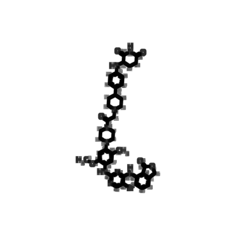 COc1cc(N2CCN(C(=O)CN3CCC(c4ccc(NC5CCC(=O)NC5=O)cc4)CC3)CC2)c(C)cc1Nc1ncc(Br)c(Nc2cccc3c2C(=O)OC3)n1